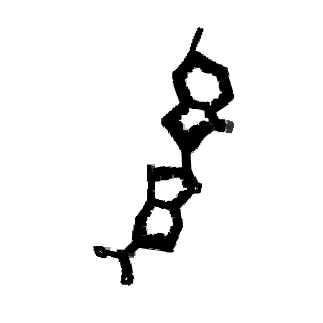 Cc1ccc2[nH]c(-c3nc4cc([N+](=O)[O-])ccc4o3)cc2c1